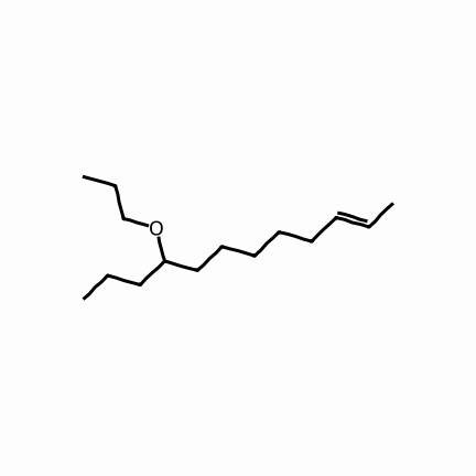 C/C=C/CCCCCC(CCC)OCCC